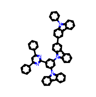 c1ccc(-c2cc(-c3ccccc3)nc(-c3cc(-n4c5ccccc5c5ccccc54)cc(-n4c5ccccc5c5cc(-c6ccc7c(c6)c6ccccc6n7-c6ccccc6)ccc54)c3)n2)cc1